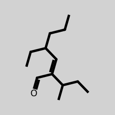 CCCC(C=C(C=O)C(C)CC)CC